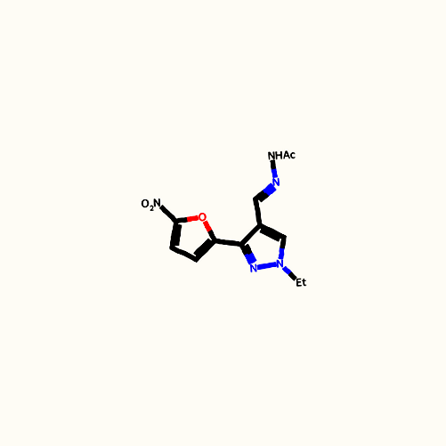 CCn1cc(C=NNC(C)=O)c(-c2ccc([N+](=O)[O-])o2)n1